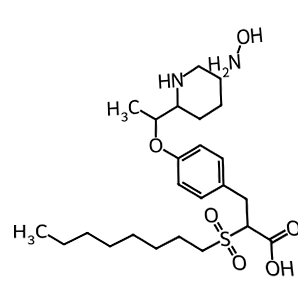 CCCCCCCCS(=O)(=O)C(Cc1ccc(OC(C)C2CCCCN2)cc1)C(=O)O.NO